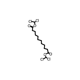 O=C(CCCCCCCCCCC(=O)OC(Cl)Cl)OC(Cl)Cl